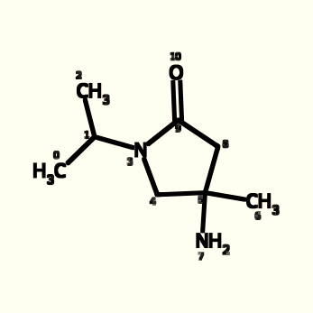 CC(C)N1CC(C)(N)CC1=O